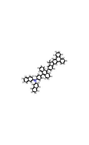 CC1(C)c2cc(-c3c4ccccc4c(-c4ccc(N(c5ccc6ccccc6c5)c5ccc6ccccc6c5)cc4)c4ccccc34)ccc2-c2cc3c4ccccc4c4ccccc4c3cc21